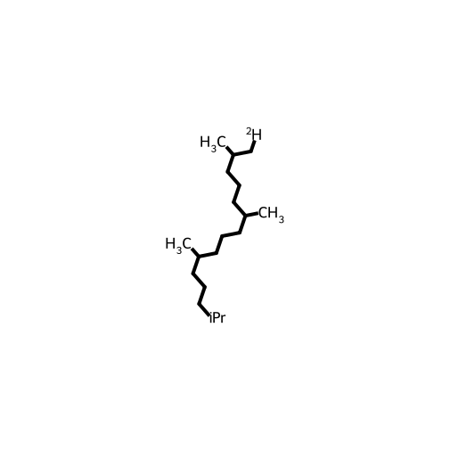 [2H]CC(C)CCCC(C)CCCC(C)CCCC(C)C